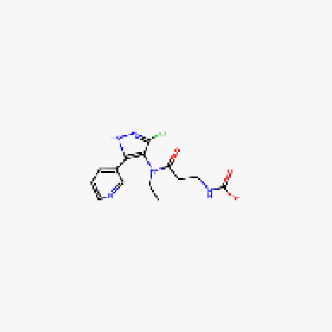 CCN(C(=O)CCNC(=O)O)c1c(Cl)n[nH]c1-c1cccnc1